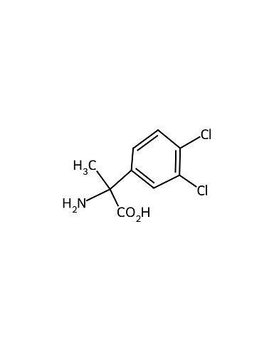 CC(N)(C(=O)O)c1ccc(Cl)c(Cl)c1